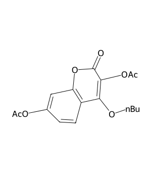 CCCCOc1c(OC(C)=O)c(=O)oc2cc(OC(C)=O)ccc12